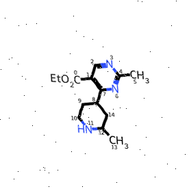 CCOC(=O)c1cnc(C)nc1C1CCNC(C)C1